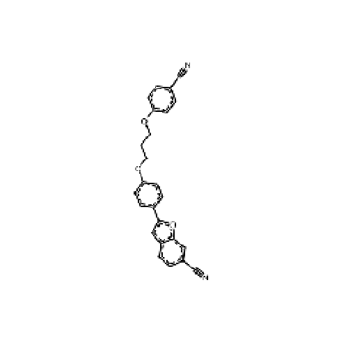 N#Cc1ccc(OCCCOc2ccc(-c3cc4ccc(C#N)cc4o3)cc2)cc1